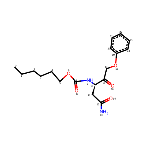 CCCCCCOC(=O)N[C@H](CC(N)=O)C(=O)COc1ccccc1